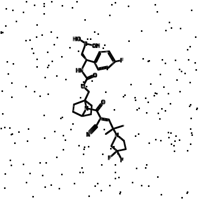 CC(C)(C=C(C#N)C(=O)N1C2CCC1(COC(=O)N[C@@H](CB(O)O)c1ccc(F)cc1)CC2)N1CCC(F)(F)C1